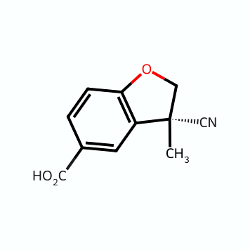 C[C@]1(C#N)COc2ccc(C(=O)O)cc21